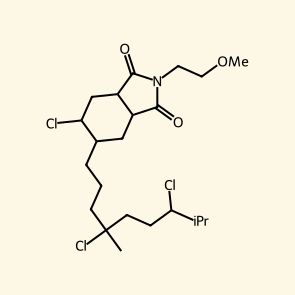 COCCN1C(=O)C2CC(Cl)C(CCCC(C)(Cl)CCC(Cl)C(C)C)CC2C1=O